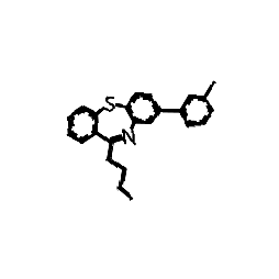 CCCCC1=Nc2cc(-c3cccc(C)c3)ccc2Sc2ccccc21